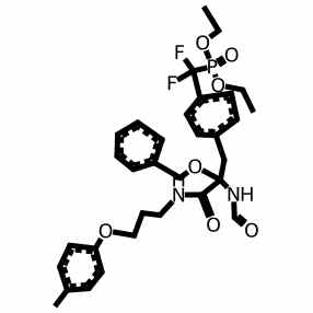 CCOP(=O)(OCC)C(F)(F)c1ccc(CC(NC=O)(OCc2ccccc2)C(=O)NCCCOc2ccc(C)cc2)cc1